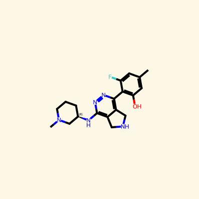 Cc1cc(O)c(-c2nnc(N[C@@H]3CCCN(C)C3)c3c2CNC3)c(F)c1